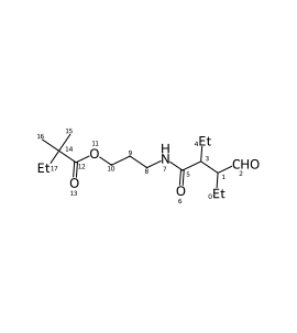 CCC(C=O)C(CC)C(=O)NCCCOC(=O)C(C)(C)CC